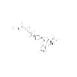 COc1ccc(NC2=C(C(=N)C(N)=O)CCN(c3ccc(NC(=O)CCCNC(=O)OC(C)(C)C)c(C)c3)C2=O)cc1